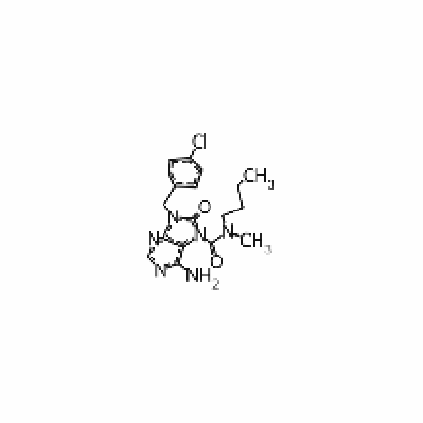 CCCCN(C)C(=O)n1c(=O)n(Cc2ccc(Cl)cc2)c2ncnc(N)c21